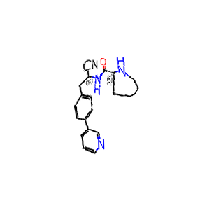 N#C[C@H](Cc1ccc(-c2cccnc2)cc1)NC(=O)[C@@H]1CCCCN1